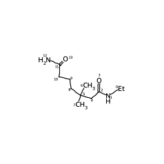 CCNC(=O)CC(C)(C)CCCC(N)=O